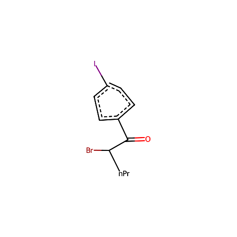 CCCC(Br)C(=O)c1ccc(I)cc1